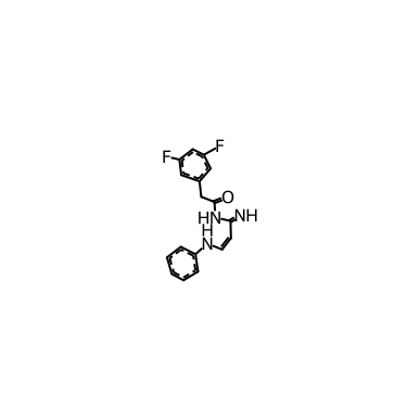 N=C(/C=C\Nc1ccccc1)NC(=O)Cc1cc(F)cc(F)c1